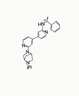 CC(C)N1CC2CC1CN2c1cc(-c2ccnc(N[C@@H](C)c3ccccc3)c2)ccn1